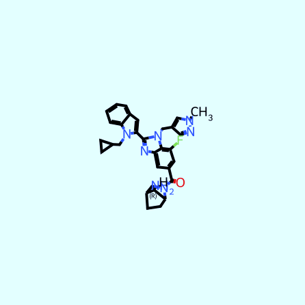 Cn1cc(Cn2c(-c3cc4ccccc4n3CC3CC3)nc3cc(C(=O)N4CC5CCC4[C@@H]5N)cc(F)c32)cn1